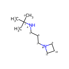 CC(C)(C)NCCCN1CCC1